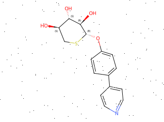 O[C@@H]1[C@@H](O)[C@H](Oc2ccc(-c3ccncc3)cc2)SC[C@H]1O